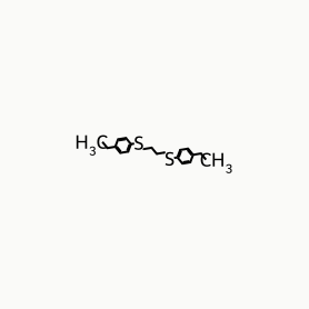 CCc1ccc(SCCCCSc2ccc(CC)cc2)cc1